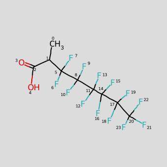 CC(C(=O)O)C(F)(F)C(F)(F)C(F)(F)C(F)(F)C(F)(F)C(F)(F)F